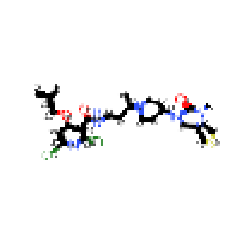 CNC(=O)N(Cc1ccsc1)C1CCN(C(C)CCNC(=O)c2c(OCC(C)C)cc(Cl)nc2Cl)CC1